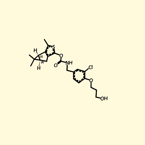 Cc1sc(OC(=O)NCc2ccc(OCCCO)c(Cl)c2)c2c1[C@H]1[C@@H](C2)C1(C)C